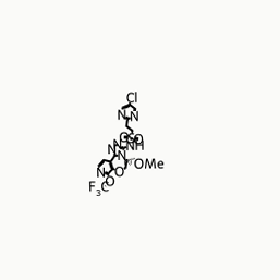 COC[C@@H]1COc2c(ccnc2OC(F)(F)F)-c2nnc(NS(=O)(=O)CCc3ncc(Cl)cn3)n21